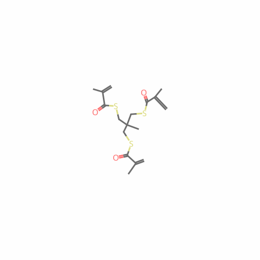 C=C(C)C(=O)SCC(C)(CSC(=O)C(=C)C)CSC(=O)C(=C)C